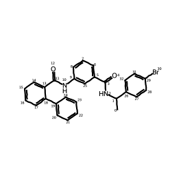 CC(NC(=O)c1cccc(NC(=O)c2ccccc2-c2ccccc2)c1)c1ccc(Br)cc1